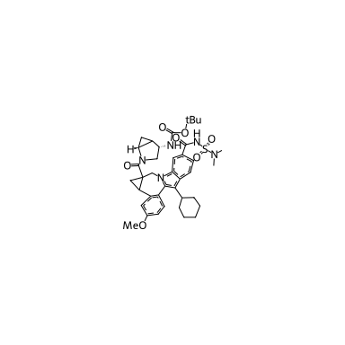 COc1ccc2c(c1)C1CC1(C(=O)N1C[C@@H](NC(=O)OC(C)(C)C)C3C[C@H]31)Cn1c-2c(C2CCCCC2)c2ccc(C(=O)NS(=O)(=O)N(C)C)cc21